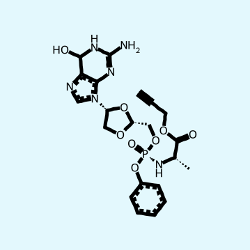 C#CCOC(=O)[C@H](C)N[P@](=O)(OC[C@@H]1OC[C@H](n2cnc3c2N=C(N)NC3O)O1)Oc1ccccc1